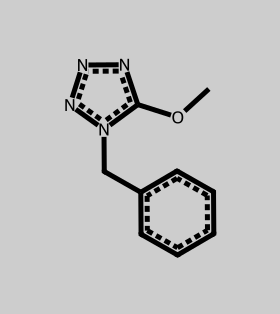 COc1nnnn1Cc1ccccc1